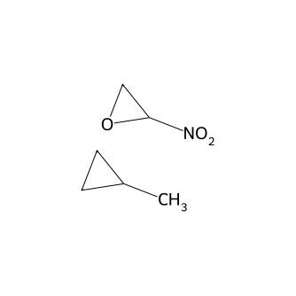 CC1CC1.O=[N+]([O-])C1CO1